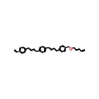 C=CCCCOCc1ccc(CCCCc2ccc(CCCCc3ccc(C=C)cc3)cc2)cc1